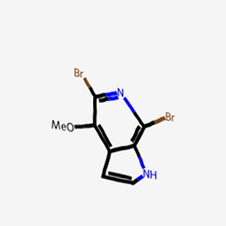 COc1c(Br)nc(Br)c2[nH]ccc12